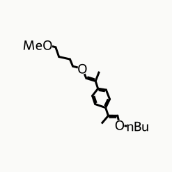 CCCCOC=C(C)c1ccc(C(C)=COCCCCOC)cc1